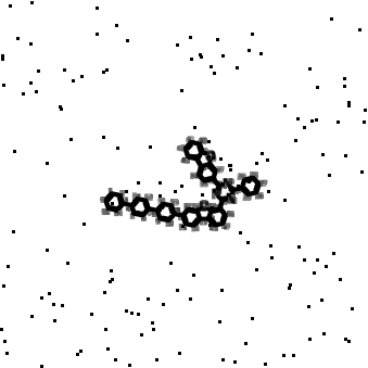 c1ccc(-c2ccc(-c3ccc(-c4ccc5c(c4)oc4c(-c6nc(-c7ccccc7)nc(-c7ccc8c(c7)oc7ccccc78)n6)cccc45)cc3)cc2)cc1